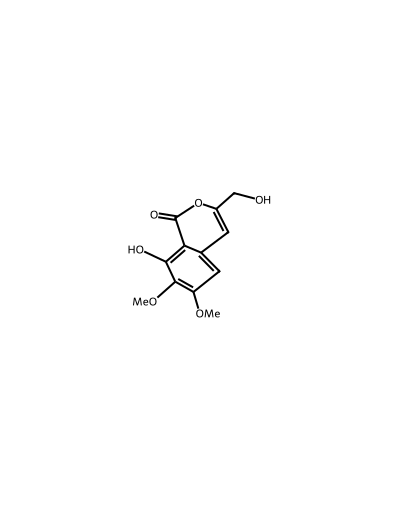 COc1cc2cc(CO)oc(=O)c2c(O)c1OC